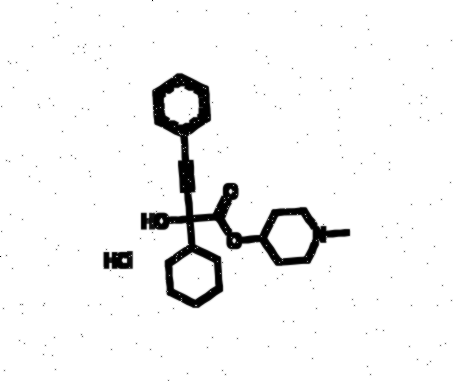 CN1CCC(OC(=O)C(O)(C#Cc2ccccc2)C2CCCCC2)CC1.Cl